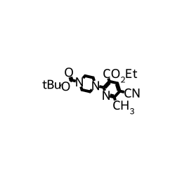 CCOC(=O)c1cc(C#N)c(C)nc1N1CCN(C(=O)OC(C)(C)C)CC1